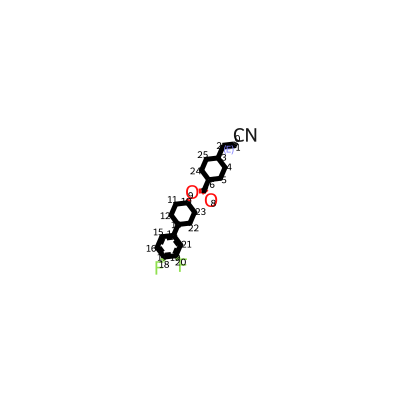 N#C/C=C/C1CCC(C(=O)OC2CCC(c3ccc(F)c(F)c3)CC2)CC1